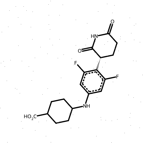 O=C1CC[C@H](c2c(F)cc(NC3CCC(C(=O)O)CC3)cc2F)C(=O)N1